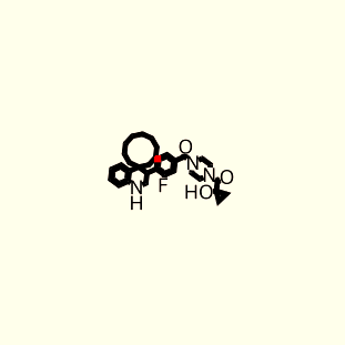 O=C(c1ccc(C2CNc3ccccc3C23CCCCCCCCC3)c(F)c1)N1CCN(C(=O)C2(O)CC2)CC1